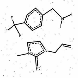 C=CCn1ccn(C)[c]1=[Pt].FC(F)(F)c1ccc(CN(I)I)cc1